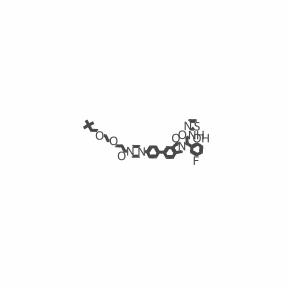 CC(C)(C)CCOCCOCCC(=O)N1CCN(c2ccc(-c3ccc4c(c3)C(=O)N(C(C(=O)Nc3nccs3)c3cc(F)ccc3O)C4)cc2)CC1